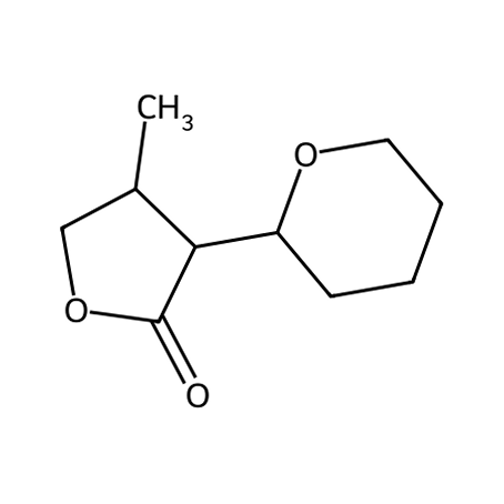 CC1COC(=O)C1C1CCCCO1